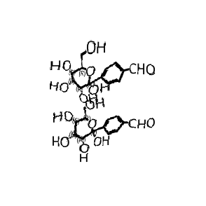 O=Cc1ccc([C@@]2(O)O[C@H](CO)[C@@H](O)[C@@H](O)[C@H]2O)cc1.O=Cc1ccc([C@@]2(O)O[C@H](CO)[C@@H](O)[C@@H](O)[C@H]2O)cc1